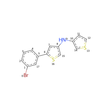 Brc1cccc(-c2cc(Nc3ccsc3)cs2)c1